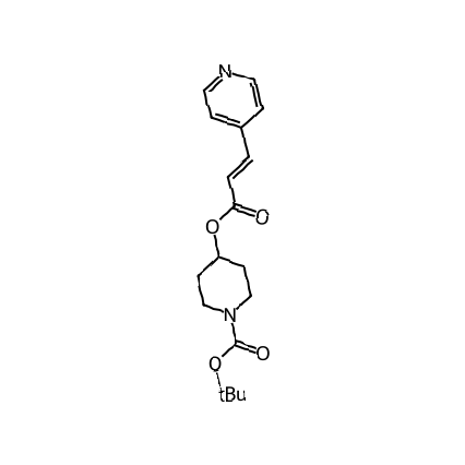 CC(C)(C)OC(=O)N1CCC(OC(=O)/C=C/c2ccncc2)CC1